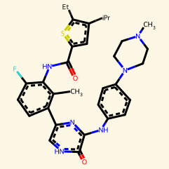 CCc1sc(C(=O)Nc2c(F)ccc(-c3c[nH]c(=O)c(Nc4ccc(N5CCN(C)CC5)cc4)n3)c2C)cc1C(C)C